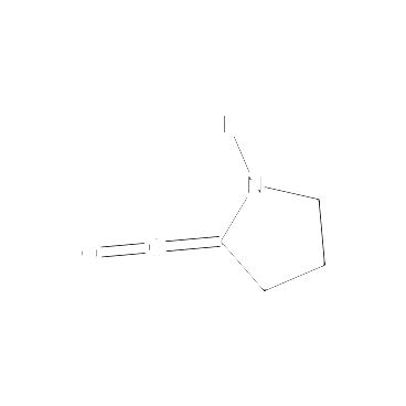 O=C=C1CCCN1F